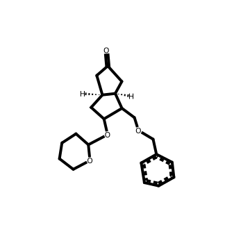 O=C1C[C@@H]2CC(OC3CCCCO3)C(COCc3ccccc3)[C@@H]2C1